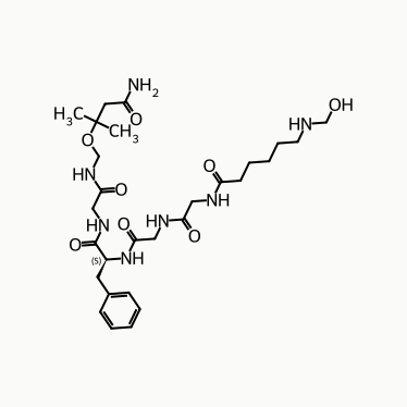 CC(C)(CC(N)=O)OCNC(=O)CNC(=O)[C@H](Cc1ccccc1)NC(=O)CNC(=O)CNC(=O)CCCCCNCO